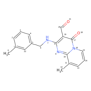 Cc1cccc(CNc2nc3c(C)cccn3c(=O)c2C=O)c1